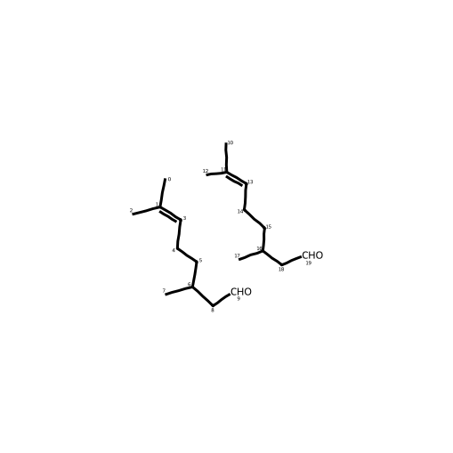 CC(C)=CCCC(C)CC=O.CC(C)=CCCC(C)CC=O